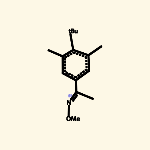 CO/N=C(\C)c1cc(C)c(C(C)(C)C)c(C)c1